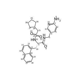 Nc1ccc(CNC(=O)[C@H](Cc2cccc3ccccc23)NS(=O)(=O)CC2CCCC2)cn1